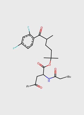 CC(C)C(=O)CC(NC(=O)CC(C)(C)C)C(=O)OC(C)(C)CCC(C)C(=O)c1ccc(F)cc1F